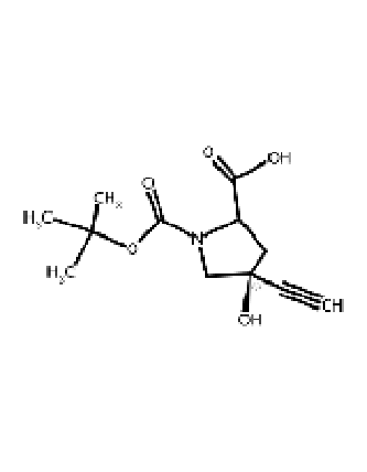 C#C[C@@]1(O)CC(C(=O)O)N(C(=O)OC(C)(C)C)C1